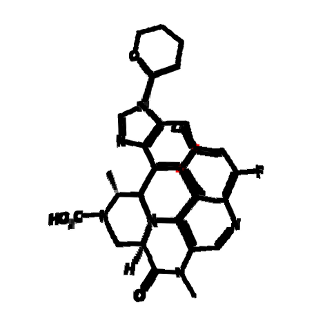 Cc1ccc2c(ncn2C2CCCCO2)c1C1[C@@H](C)N(C(=O)O)C[C@@H]2C(=O)N(C)c3cnc4c(F)cc(Cl)cc4c3N12